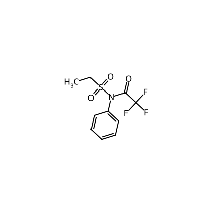 CCS(=O)(=O)N(C(=O)C(F)(F)F)c1ccccc1